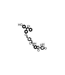 CCC(=C(c1ccc(O)cc1)c1ccc(OCCN2CCC(CC(=O)NCc3ccc4c(c3)CN(C3CCC(=O)NC3=O)C4=O)CC2)cc1)c1ccccc1